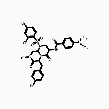 CC(C)N1CC2N(C(=O)C(NC(=O)c3ccc(N(C)C)cc3)CN2S(=O)(=O)c2ccc(Cl)cc2Cl)C(Cc2ccc(Br)cc2)C1=O